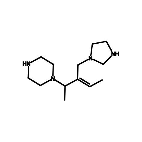 CC=C(CN1CCNC1)C(C)N1CCNCC1